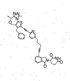 Cc1nnc2n1-c1sc(C#Cc3ccc(CCCC#Cc4cccc5c4CN(C4CCC(=O)NC4=O)C5=O)cn3)c(Cc3ccccc3)c1CO[C@H]2C